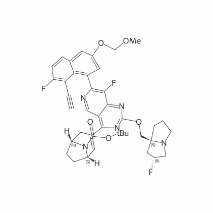 C#Cc1c(F)ccc2cc(OCOC)cc(-c3ncc4c(C5=C[C@@H]6CC[C@H](C5)N6C(=O)OC(C)(C)C)nc(OC[C@@]56CCCN5C[C@H](F)C6)nc4c3F)c12